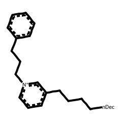 CCCCCCCCCCCCCCc1ccc[n+](CCCc2ccccc2)c1